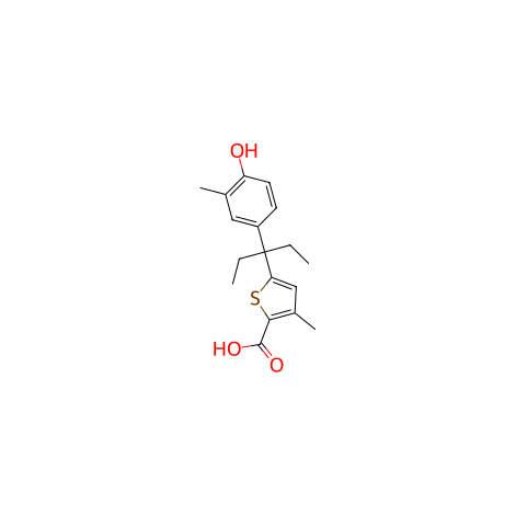 CCC(CC)(c1ccc(O)c(C)c1)c1cc(C)c(C(=O)O)s1